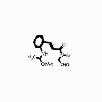 COC(C)Nc1ccccc1/C=C/C(=O)N(C[C]=O)C(C)=O